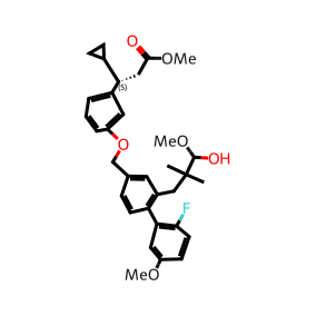 COC(=O)C[C@H](c1cccc(OCc2ccc(-c3cc(OC)ccc3F)c(CC(C)(C)C(O)OC)c2)c1)C1CC1